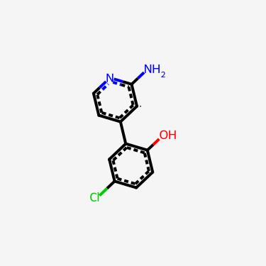 Nc1[c]c(-c2cc(Cl)ccc2O)ccn1